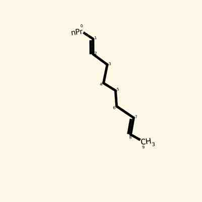 [CH2]CC/C=C/CCCC/C=C/C